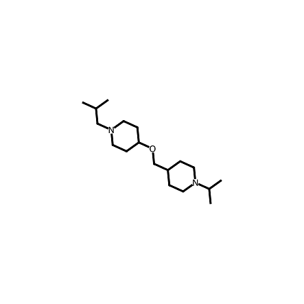 CC(C)CN1CCC(OCC2CCN(C(C)C)CC2)CC1